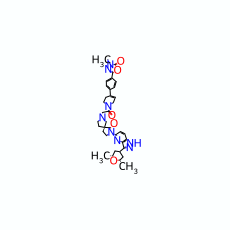 C[C@@H]1CC(c2n[nH]c3ccc(N4CC[C@]5(CCN(CC(=O)N6CC=C(c7ccc(-c8nn(C)c(=O)o8)cc7)CC6)C5)C4=O)nc23)C[C@H](C)O1